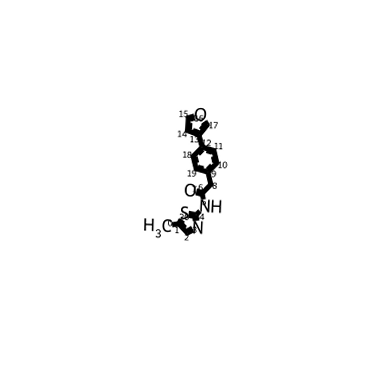 Cc1cnc(NC(=O)Cc2ccc(-c3ccoc3)cc2)s1